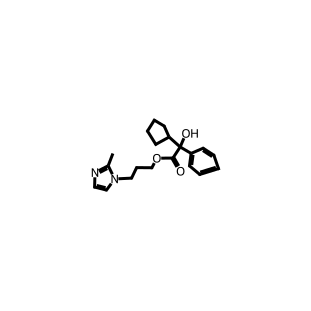 Cc1nccn1CCCOC(=O)C(O)(c1ccccc1)C1CCCC1